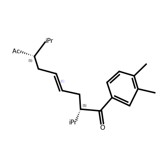 CC(=O)[C@@H](C/C=C/C[C@H](C(=O)c1ccc(C)c(C)c1)C(C)C)C(C)C